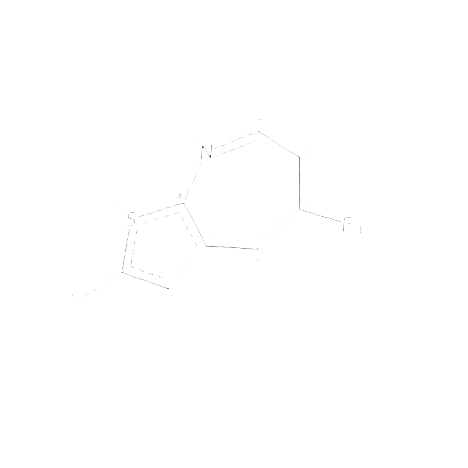 Cc1cc2c(s1)N=CCC(F)=C2